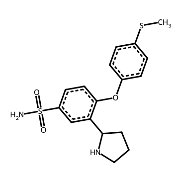 CSc1ccc(Oc2ccc(S(N)(=O)=O)cc2C2CCCN2)cc1